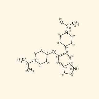 CC(C)N1CCC(Oc2cc3c(cc2C2CCN([S+](C)[O-])CC2)NCC3)CC1